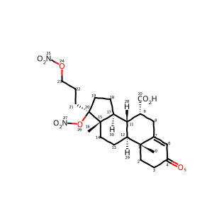 C[C@]12CCC(=O)C=C1C[C@@H](C(=O)O)[C@@H]1[C@@H]2CC[C@@]2(C)[C@H]1CC[C@]2(CCCO[N+](=O)[O-])O[N+](=O)[O-]